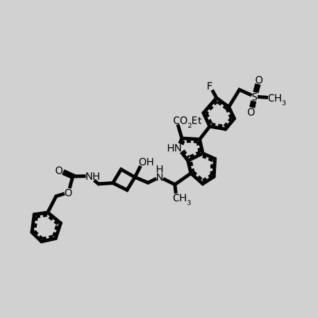 CCOC(=O)c1[nH]c2c(C(C)NCC3(O)CC(CNC(=O)OCc4ccccc4)C3)cccc2c1-c1ccc(CS(C)(=O)=O)c(F)c1